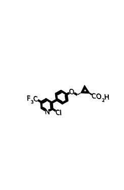 O=C(O)[C@@H]1C[C@H]1COc1ccc(-c2cc(C(F)(F)F)cnc2Cl)cc1